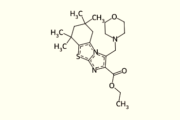 CCOC(=O)c1nc2sc3c(n2c1CN1CCOCC1)CC(C)(C)CC3(C)C